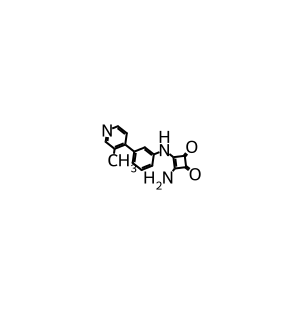 Cc1cnccc1-c1cccc(Nc2c(N)c(=O)c2=O)c1